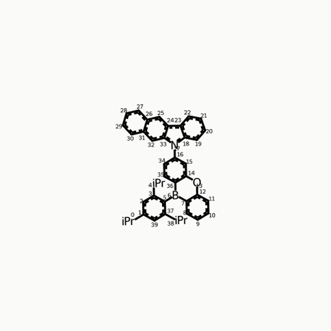 CC(C)c1cc(C(C)C)c(B2c3ccccc3Oc3cc(-n4c5ccccc5c5cc6ccccc6cc54)ccc32)c(C(C)C)c1